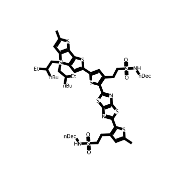 CCCCCCCCCCNS(=O)(=O)CCc1cc(C)sc1-c1nc2sc(-c3sc(-c4cc5c(s4)-c4sc(C)cc4[Si]5(CC(CC)CCCC)CC(CC)CCCC)cc3CCS(=O)(=O)NCCCCCCCCCC)nc2s1